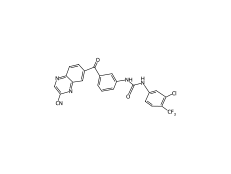 N#Cc1cnc2ccc(C(=O)c3cccc(NC(=O)Nc4ccc(C(F)(F)F)c(Cl)c4)c3)cc2n1